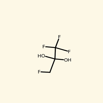 OC(O)(CF)C(F)(F)F